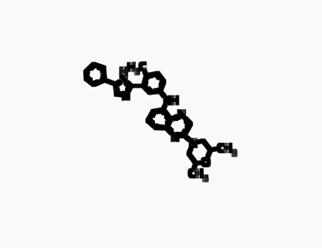 Cc1ccc(Nc2cccc3nc(N4CC(C)OC(C)C4)cnc23)cc1-c1ncc(-c2ccccc2)[nH]1